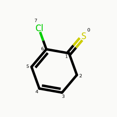 S=C1CC=CC=C1Cl